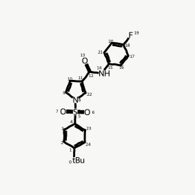 CC(C)(C)c1ccc(S(=O)(=O)n2ccc(C(=O)Nc3ccc(F)cc3)c2)cc1